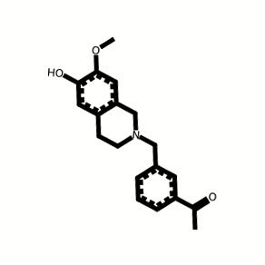 COc1cc2c(cc1O)CCN(Cc1cccc(C(C)=O)c1)C2